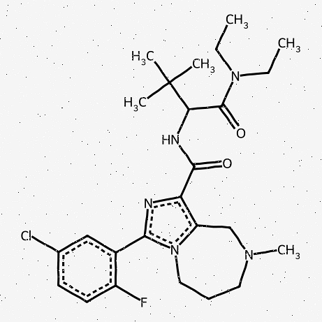 CCN(CC)C(=O)C(NC(=O)c1nc(-c2cc(Cl)ccc2F)n2c1CN(C)CCC2)C(C)(C)C